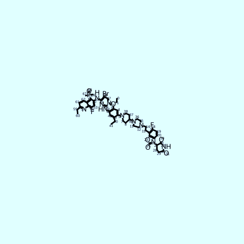 CCOc1cc(N2CCC(N3CCN(CCc4c(F)ccc5c4oc(=O)n5C4CCC(=O)NC4=O)CC3)CC2)c(CC)cc1Nc1ncc(Br)c(Nc2cc(F)c3nc(CC)ccc3c2P(C)(C)=O)n1